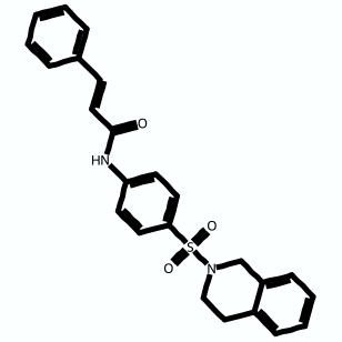 O=C(C=Cc1ccccc1)Nc1ccc(S(=O)(=O)N2CCc3ccccc3C2)cc1